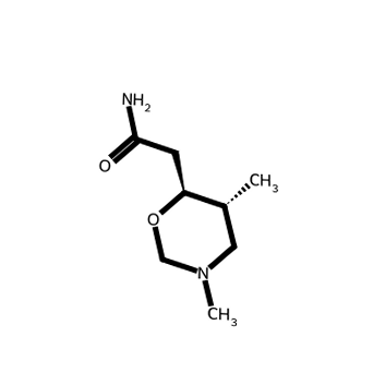 C[C@@H]1CN(C)CO[C@H]1CC(N)=O